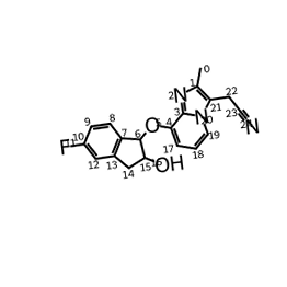 Cc1nc2c(OC3c4ccc(F)cc4CC3O)cccn2c1CC#N